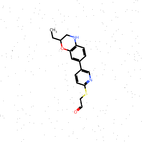 CCC1CNc2ccc(-c3ccc(SCC=O)nc3)cc2O1